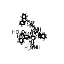 N=C(N)NCCC[C@H](NC(=O)[C@H](Cc1c[nH]c2ccccc12)NC(=O)CNC(=O)OCC1c2ccccc2-c2ccccc21)C(=O)N[C@@H](Cc1c[nH]c2ccccc12)C(=O)NCC(=O)O